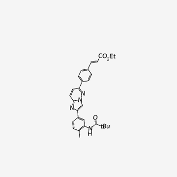 CCOC(=O)C=Cc1ccc(-c2ccc3nc(-c4ccc(C)c(NC(=O)C(C)(C)C)c4)cn3n2)cc1